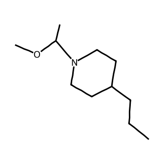 CCCC1CCN(C(C)OC)CC1